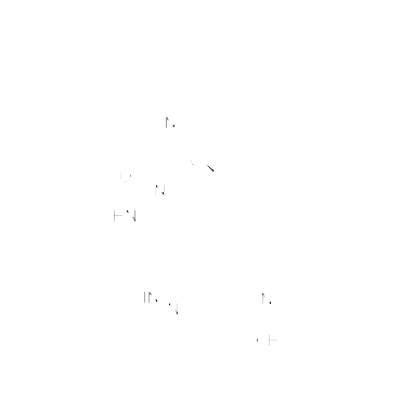 Cc1cc(-c2n[nH]c3cc4c(cc23)CN([C@@H]2CN(CC(F)F)C[C@H]2c2ccccc2)C(=O)N4)ccn1